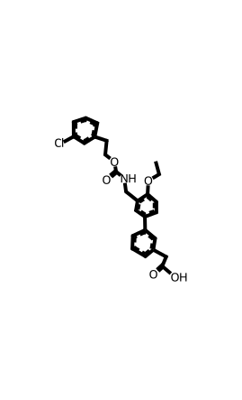 CCOc1ccc(-c2cccc(CC(=O)O)c2)cc1CNC(=O)OCCc1cccc(Cl)c1